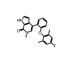 Cc1cc(F)cc(C)c1Oc1ccccc1-c1cn(C)c(=O)c2[nH]ccc12